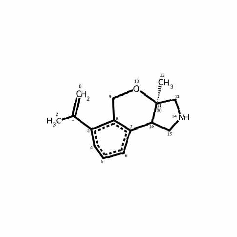 C=C(C)c1cccc2c1CO[C@@]1(C)CNCC21